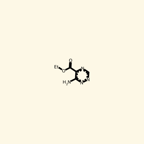 CCOC(=O)c1ncnnc1N